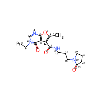 Cc1oc2ncn(CC(C)C)c(=O)c2c1C(=O)NCCCN1CCCC1=O